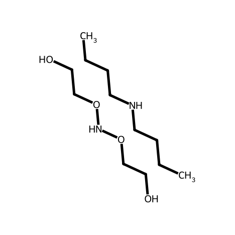 CCCCNCCCC.OCCONOCCO